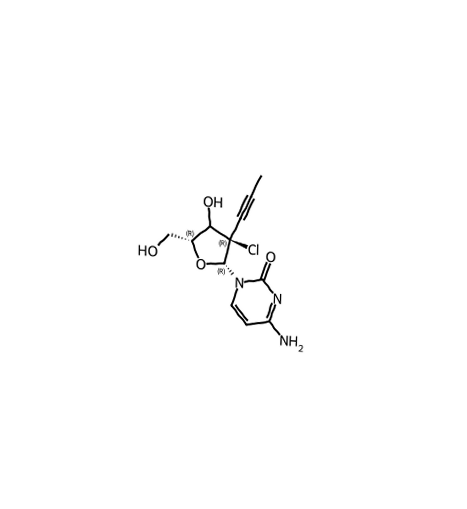 CC#C[C@@]1(Cl)C(O)[C@@H](CO)O[C@H]1n1ccc(N)nc1=O